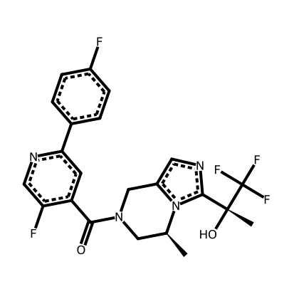 C[C@H]1CN(C(=O)c2cc(-c3ccc(F)cc3)ncc2F)Cc2cnc([C@@](C)(O)C(F)(F)F)n21